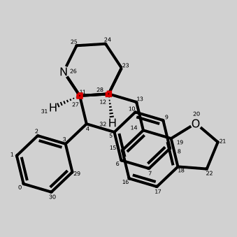 c1ccc(C(c2ccccc2)[C@@H]2[C@H](Cc3cccc4c3OCC4)C3CCN2CC3)cc1